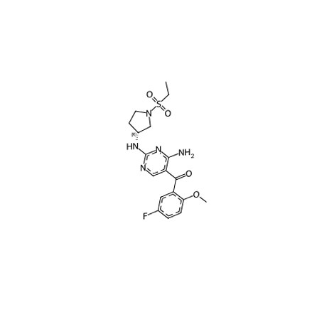 CCS(=O)(=O)N1CC[C@@H](Nc2ncc(C(=O)c3cc(F)ccc3OC)c(N)n2)C1